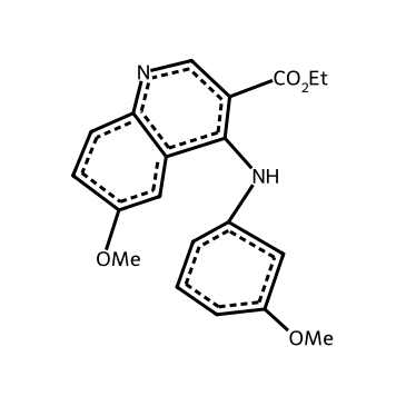 CCOC(=O)c1cnc2ccc(OC)cc2c1Nc1cccc(OC)c1